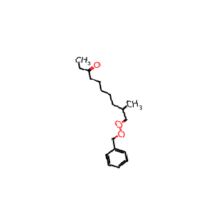 CCC(=O)CCCCCC(C)COOCc1ccccc1